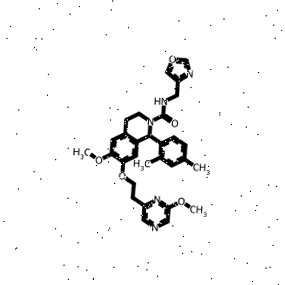 COc1cncc(CCOc2cc3c(cc2OC)CCN(C(=O)NCc2cocn2)C3c2ccc(C)cc2C)n1